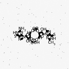 Cc1nc2c(ncn2[C@@H]2O[C@@H]3COP(=O)(O)O[C@@H]4C(O)[C@H](n5cnc6c(=S)[nH]c(N)nc65)O[C@@H]4COP(=O)(O)OC3[C@@H]2O)c(=S)[nH]1